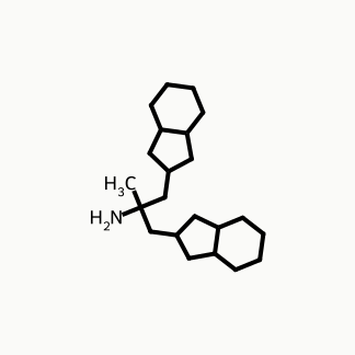 CC(N)(CC1CC2CCCCC2C1)CC1CC2CCCCC2C1